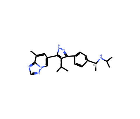 Cc1cc(-c2[nH]nc(-c3ccc([C@H](C)NC(C)C)cc3)c2C(C)C)cn2ncnc12